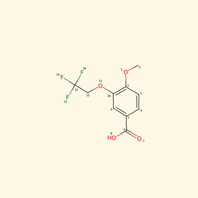 COc1ccc(C(=O)O)cc1OCC(F)(F)F